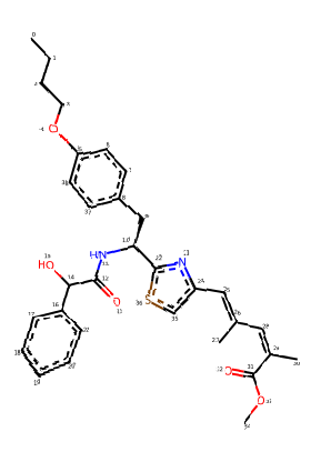 CCCCOc1ccc(C[C@H](NC(=O)C(O)c2ccccc2)c2nc(/C=C(C)/C=C(/C)C(=O)OC)cs2)cc1